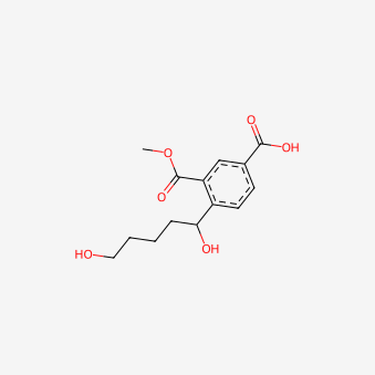 COC(=O)c1cc(C(=O)O)ccc1C(O)CCCCO